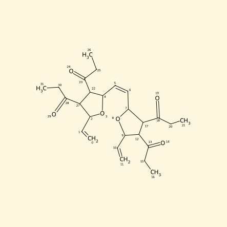 C=CC1OC(/C=C\C2OC(C=C)C(C(=O)CC)C2C(=O)CC)C(C(=O)CC)C1C(=O)CC